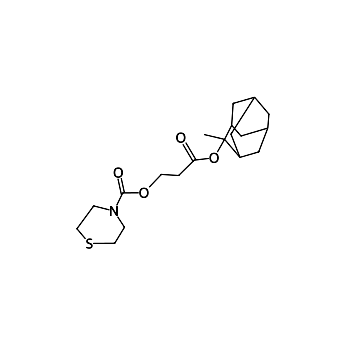 CC1(OC(=O)CCOC(=O)N2CCSCC2)C2CC3CC(C2)CC1C3